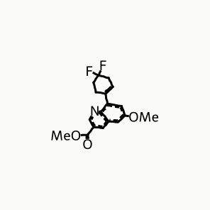 COC(=O)c1cnc2c(C3=CCC(F)(F)CC3)cc(OC)cc2c1